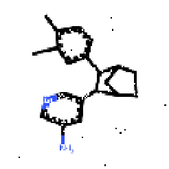 Cc1ccc(C2C3CCC(C3)C2c2cncc(N)c2)cc1C